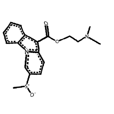 CN(C)CCOC(=O)c1c2ccccc2n2cc([S+](C)[O-])ccc12